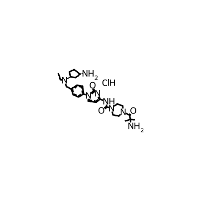 CCN(Cc1ccc(-n2ccc(NC(=O)N3CCN(C(=O)C(C)(C)N)CC3)nc2=O)cc1)[C@H]1CC[C@H](N)C1.Cl